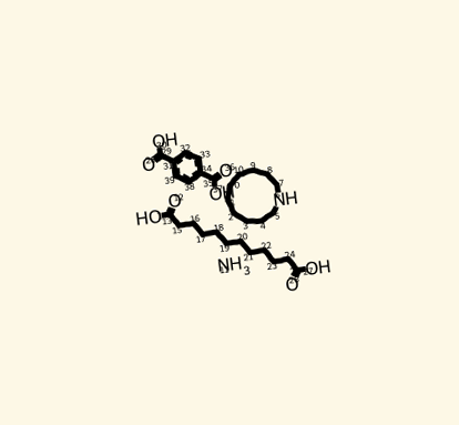 C1CCCCCNCCCC1.N.O=C(O)CCCCCCCCCCC(=O)O.O=C(O)c1ccc(C(=O)O)cc1